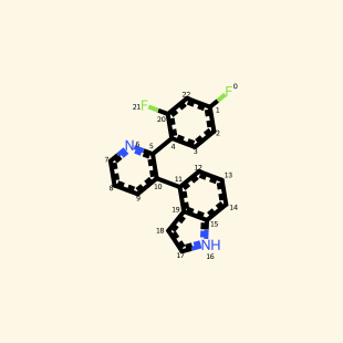 Fc1ccc(-c2ncccc2-c2cccc3[nH]ccc23)c(F)c1